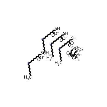 CC(=O)CC[CH2][Sn+2].CC(=O)CC[CH2][Sn+2].CCCCCCCC/C=C\CCCCCCC(CCS)C(=O)[O-].CCCCCCCC/C=C\CCCCCCC(CCS)C(=O)[O-].CCCCCCCC/C=C\CCCCCCC(CCS)C(=O)[O-].CCCCCCCC/C=C\CCCCCCC(CCS)C(=O)[O-].[S-2].[S-2]